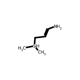 C[SiH](C)CC=CN